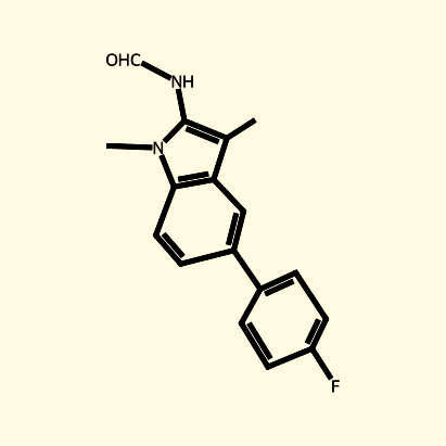 Cc1c(NC=O)n(C)c2ccc(-c3ccc(F)cc3)cc12